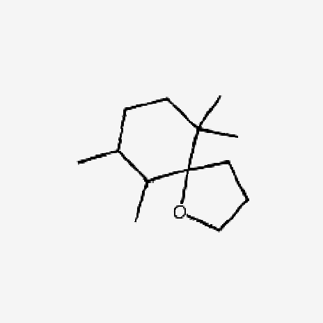 C[C]1C(C)CCC(C)(C)C12CCCO2